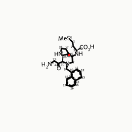 CSCC[C@H](NC(=O)CN(Cc1cccc2ccccc12)C(C(=O)CN)[C@@H]1CCCN1)C(=O)O